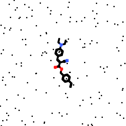 C=Cc1ccc(COC(=O)/C(C#N)=C/c2ccc(N(CC)CC)cc2)cc1